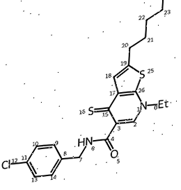 CCn1cc(C(=O)NCc2ccc(Cl)cc2)c(=S)c2cc(CCCCO)sc21